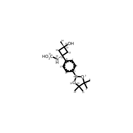 CC1(C)OB(c2ccc([C@]3(NC(=O)O)C[C@@](C)(O)C3)cc2)OC1(C)C